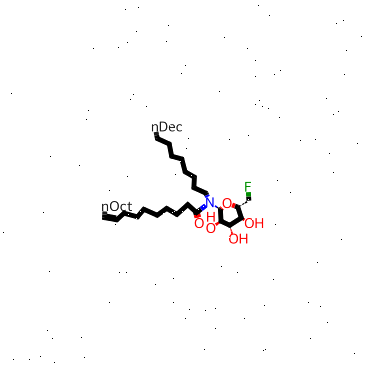 CCCCCCCC/C=C\CCCCCCCC(=O)N(CCCCCCCCCCCCCCCCCC)[C@@H]1O[C@H](CF)[C@@H](O)[C@H](O)[C@H]1O